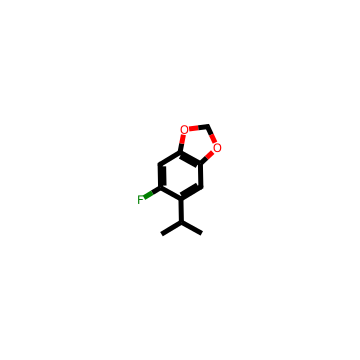 CC(C)c1cc2c(cc1F)OCO2